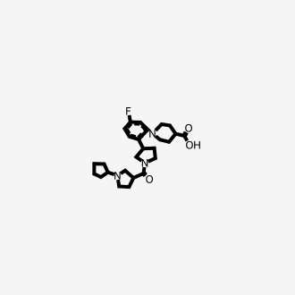 O=C(O)C1CCN(c2cc(F)ccc2C2CCN(C(=O)C3CCN(C4CCCC4)C3)C2)CC1